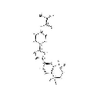 CCN(CC)C(=O)CN1CCC(c2nc(-c3ccc4c(c3)C(C)(C)CCC4(C)C)cs2)CC1